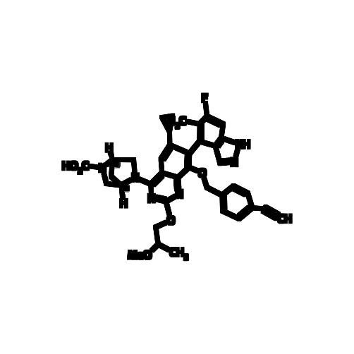 C#Cc1ccc(COc2c(-c3c(C)c(F)cc4[nH]ncc34)c(C3CC3)cc3c(N4C[C@@H]5C[C@H]4CN5C(=O)O)nc(OCC(C)OC)nc23)cc1